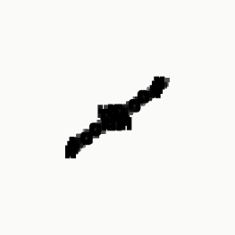 [N-]=[N+]=NCCOCCOCCNC(=O)C(O)C(O)C(=O)NCCOCCOCCN=[N+]=[N-]